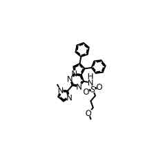 COCCCS(=O)(=O)Nc1nc(-c2nccn2C)nn2cc(-c3ccccc3)c(-c3ccccc3)c12